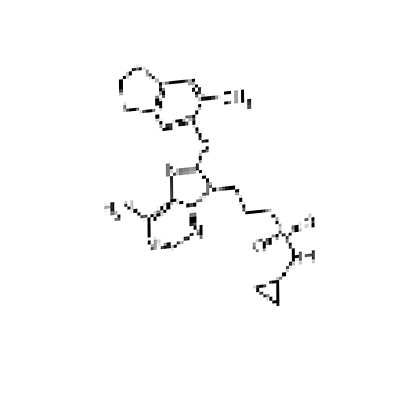 Cc1cc2c(cc1Sc1nc3c(N)ncnc3n1CCCS(=O)(=O)NC1CC1)CCC2